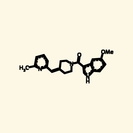 COc1ccc2[nH]cc(C(=O)N3CCC(=Cc4cccc(C)n4)CC3)c2c1